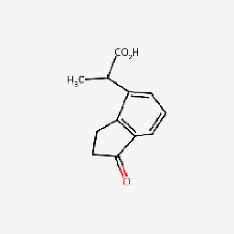 CC(C(=O)O)c1cccc2c1CCC2=O